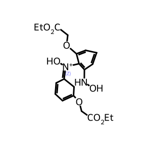 CCOC(=O)COC1=CC=C/C(=[N+](\O)c2c(NO)cccc2OCC(=O)OCC)C1